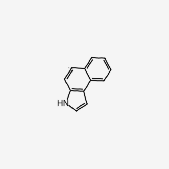 [c]1cc2[nH]ccc2c2ccccc12